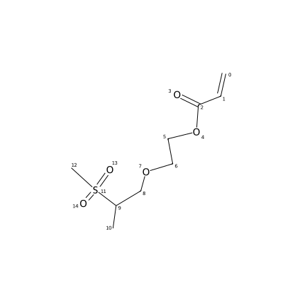 C=CC(=O)OCCOCC(C)S(C)(=O)=O